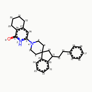 O=c1[nH]c(N2CCC3(CC2)CC(CCc2ccccc2)c2ccccc23)cc2c1CCCC2